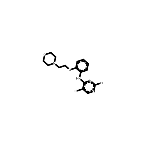 Clc1ncc(Cl)c(Nc2ccccc2OCCN2CCOCC2)n1